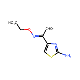 Nc1nc(C([C]=O)=NOCC(=O)O)cs1